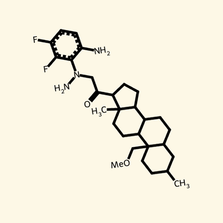 COCC12CCC(C)CC1CCC1C3CCC(C(=O)CN(N)c4c(N)ccc(F)c4F)C3(C)CCC12